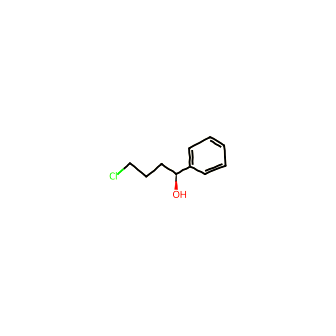 O[C@@H](CCCCl)c1ccccc1